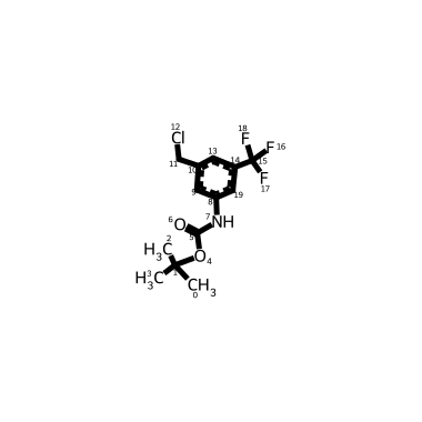 CC(C)(C)OC(=O)Nc1cc(CCl)cc(C(F)(F)F)c1